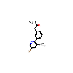 COC(=O)Cc1cccc(-c2ncc(Br)cc2[N+](=O)[O-])c1